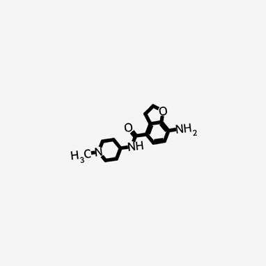 CN1CCC(NC(=O)c2ccc(N)c3c2CCO3)CC1